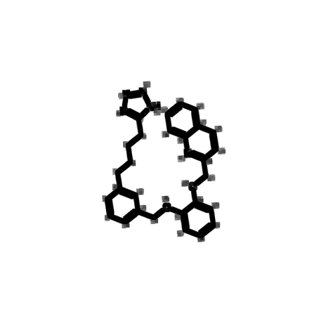 c1cc(CCCCc2nnn[nH]2)cc(COc2ccccc2OCc2ccc3ccccc3n2)c1